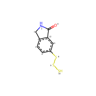 O=C1NCc2ccc(SSS)cc21